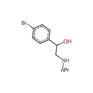 CCCNCC(O)c1ccc(Br)cc1